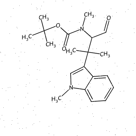 CN(C(=O)OC(C)(C)C)C(C=O)C(C)(C)c1cn(C)c2ccccc12